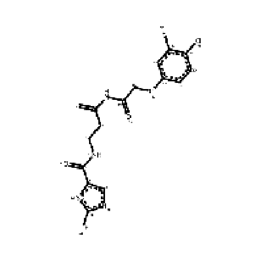 C=C(CCNC(=O)c1cnc(CCC)s1)NC(=O)COc1ccc(Cl)c(F)c1